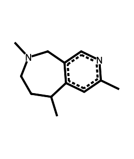 Cc1cc2c(cn1)CN(C)CCC2C